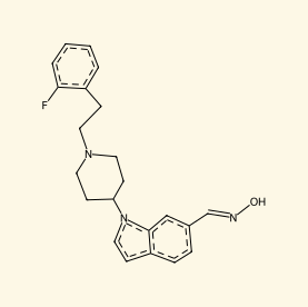 ON=Cc1ccc2ccn(C3CCN(CCc4ccccc4F)CC3)c2c1